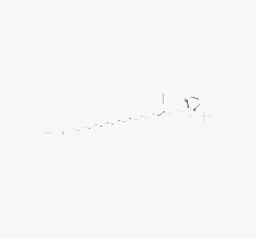 CCCCCCCCCCCCCCCCC=CCCCc1c(O)cccc1O